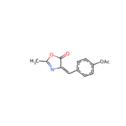 CC(=O)Oc1ccc(C=C2N=C(C)OC2=O)cc1